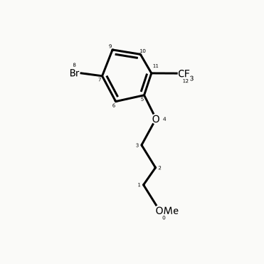 COCCCOc1cc(Br)ccc1C(F)(F)F